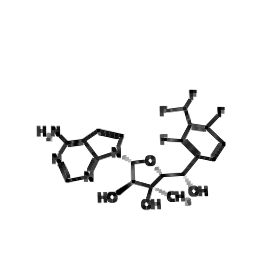 C[C@@]1(O)[C@@H]([C@@H](O)c2ccc(F)c(C(F)F)c2F)O[C@@H](n2ccc3c(N)ncnc32)[C@@H]1O